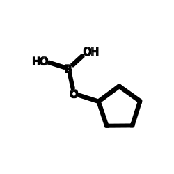 OB(O)OC1CCCC1